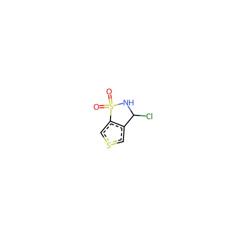 O=S1(=O)NC(Cl)c2cscc21